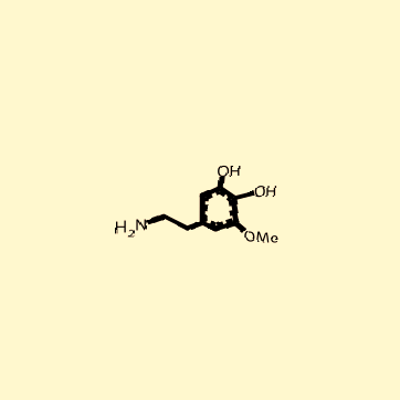 COc1cc(CCN)cc(O)c1O